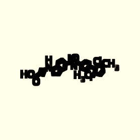 Cc1cc(-c2nc(-c3ccc4c(c3)CCC4NC3CC(C(=O)O)C3)no2)ccc1-c1c(F)ccc(C)c1Cl